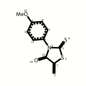 C=C1SC(=S)N(c2ccc(OC)cc2)C1=O